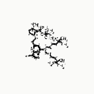 C[C@@H]1CC[C@H](CCc2cc(N(COCC[Si](C)(C)C)COCC[Si](C)(C)C)n3ncc(I)c3n2)N1C(=O)OC(C)(C)C